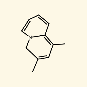 CC1=CC(C)=C2C=CC=CN2C1